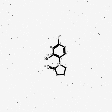 O=C1CCCN1c1ccc(I)cc1Br